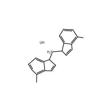 Cc1cccc2c1C=CC2[SiH2]C1C=Cc2c(C)cccc21.[LiH]